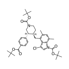 Cc1cc(C)c2c(c(Cl)cn2C(=O)OC(C)(C)C)c1C[C@@H]1CCN(C(=O)OC(C)(C)C)C[C@H]1c1ccc(C(=O)OC(C)(C)C)cc1